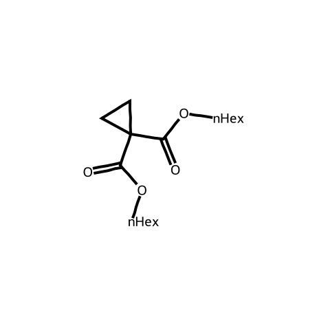 CCCCCCOC(=O)C1(C(=O)OCCCCCC)CC1